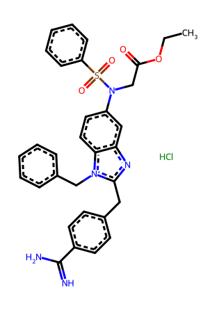 CCOC(=O)CN(c1ccc2c(c1)nc(Cc1ccc(C(=N)N)cc1)n2Cc1ccccc1)S(=O)(=O)c1ccccc1.Cl